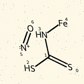 S=C(S)[NH][Fe].[N+]=O